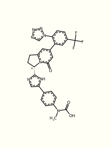 CN(C(=O)O)c1ccc(-c2cnc([C@@H]3CCc4cc(-c5cc(C(F)(F)F)ccc5-n5cnnn5)cc(=O)n43)[nH]2)cc1